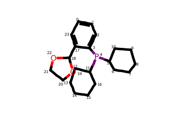 c1ccc(P(C2CCCCC2)C2CCCCC2)c(C2OCCO2)c1